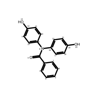 O=C(c1ccccc1)N(c1ccc(O)cc1)c1ccc(O)cc1